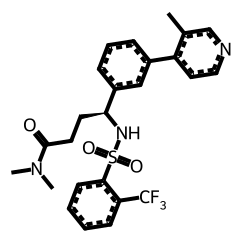 Cc1cnccc1-c1cccc([C@H](CCC(=O)N(C)C)NS(=O)(=O)c2ccccc2C(F)(F)F)c1